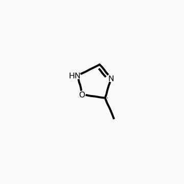 C[C]1N=CNO1